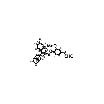 COc1cc(CC=O)ccc1OCCCCN1C2CCC1CC(c1noc3cc(F)ccc13)C2